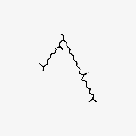 CCC(CCCCCCCCCCC(=O)OCCCCCC(C)C)CC(=O)OCCCCCC(C)C